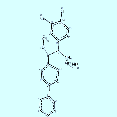 COC(c1ccc(-c2cccnc2)cc1)C(N)c1ccc(Cl)c(Cl)c1.Cl.Cl